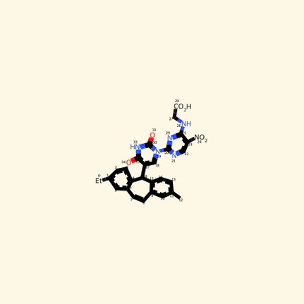 CCc1ccc2c(c1)C=Cc1cc(C)ccc1C2c1cn(-c2ncc([N+](=O)[O-])c(NCC(=O)O)n2)c(=O)[nH]c1=O